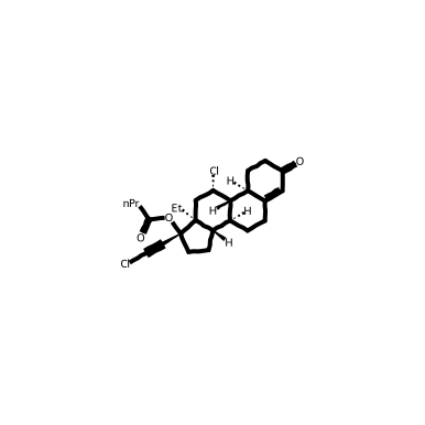 CCCC(=O)O[C@@]1(C#CCl)CC[C@H]2[C@@H]3CCC4=CC(=O)CC[C@@H]4[C@H]3[C@@H](Cl)C[C@@]21CC